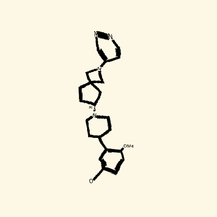 COc1ccc(Cl)cc1C1CCN([C@@H]2CCC3(C2)CN(c2ccnnc2)C3)CC1